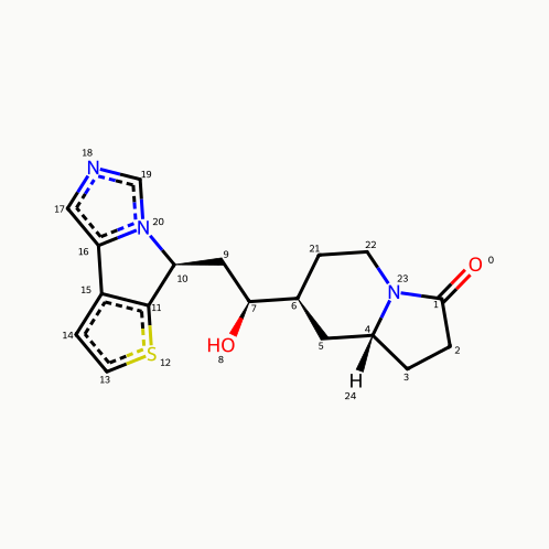 O=C1CC[C@@H]2C[C@@H]([C@@H](O)C[C@H]3c4sccc4-c4cncn43)CCN12